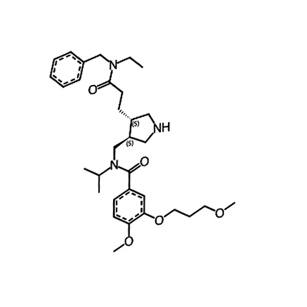 CCN(Cc1ccccc1)C(=O)CC[C@@H]1CNC[C@H]1CN(C(=O)c1ccc(OC)c(OCCCOC)c1)C(C)C